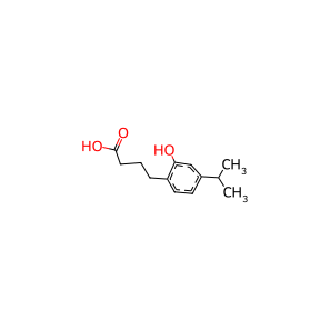 CC(C)c1ccc(CCCC(=O)O)c(O)c1